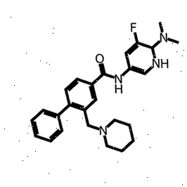 CN(C)C1NC=C(NC(=O)c2ccc(-c3ccccc3)c(CN3CCCCC3)c2)C=C1F